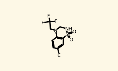 O=S1(=O)NCN(CC(F)(F)F)c2ccc(Cl)cc21